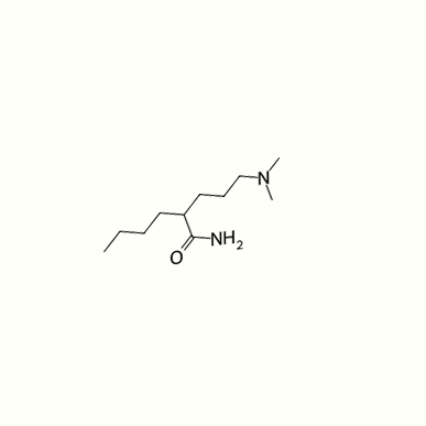 CCCCC(CCCN(C)C)C(N)=O